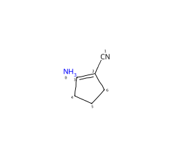 N.N#CC1=CCCC1